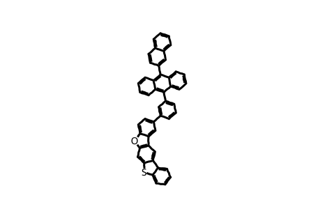 c1cc(-c2ccc3oc4cc5sc6ccccc6c5cc4c3c2)cc(-c2c3ccccc3c(-c3ccc4ccccc4c3)c3ccccc23)c1